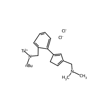 CCCC[N]([Ti+2])Cc1ccccc1C1=CC(CN(C)C)=CC1.[Cl-].[Cl-]